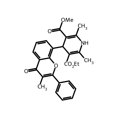 CCOC(=O)C1=C(C)NC(C)=C(C(=O)OC)C1c1cccc2c(=O)c(C)c(-c3ccccc3)oc12